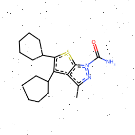 Cc1nn(C(N)=O)c2sc(C3CCCCC3)c(C3CCCCC3)c12